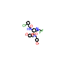 COc1ccc(CN(Cc2ccc(OC)cc2)S(=O)(=O)c2cc(NC(=O)Cc3ccccc3Cl)cc3nn(CC(F)F)cc23)cc1